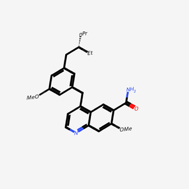 CCC[C@H](CC)Cc1cc(Cc2ccnc3cc(OC)c(C(N)=O)cc23)cc(OC)c1